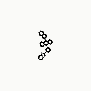 C1=Cc2nc(-c3cccc(-c4c5ccccc5c(-c5ccc6ccccc6c5)c5ccccc45)c3)cn2CC1